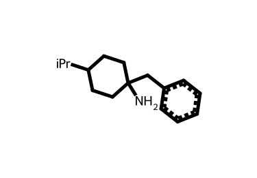 CC(C)C1CCC(N)(Cc2ccccc2)CC1